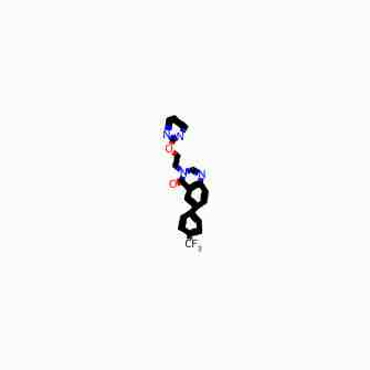 O=c1c2cc(-c3ccc(C(F)(F)F)cc3)ccc2ncn1CCOc1ncccn1